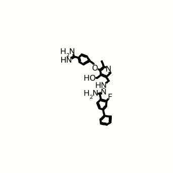 Cc1ncc(CNN=C(N)c2ccc(-c3ccccc3)cc2F)c(CO)c1OCc1ccc(C(=N)N)cc1